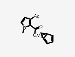 COC(=O)c1c(C(C)=O)ccn1C.c1cc2cc-2c1